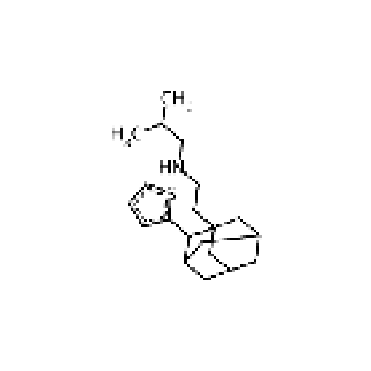 CC(C)CNCCC12CC3CC(CC(C3)C1c1cccs1)C2